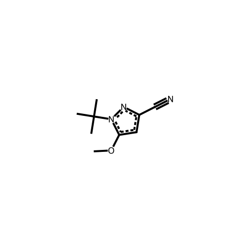 COc1cc(C#N)nn1C(C)(C)C